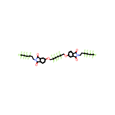 O=C1c2ccc(OCC(F)(F)C(F)(F)C(F)(F)C(F)(F)COc3ccc4c(c3)C(=O)N(CCC(F)(F)C(F)(F)C(F)(F)C(F)(F)F)C4=O)cc2C(=O)N1CCC(F)(F)C(F)(F)C(F)(F)C(F)(F)F